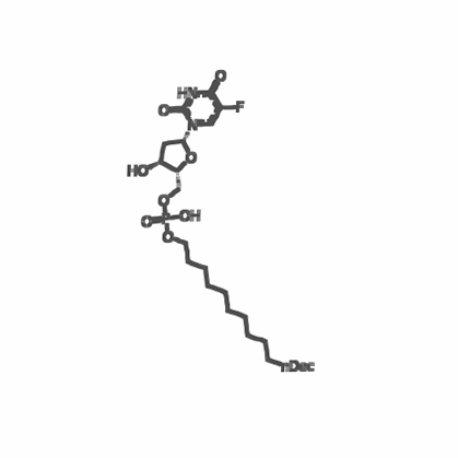 CCCCCCCCCCCCCCCCCCCCOP(=O)(O)OC[C@H]1O[C@@H](n2cc(F)c(=O)[nH]c2=O)C[C@@H]1O